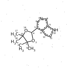 CC1(C)OC(c2cncc3[nH]ccc23)OC1(C)C